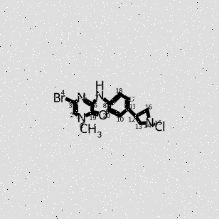 Cn1cc(Br)nc(Nc2ccc(C3CN(Cl)C3)cc2)c1=O